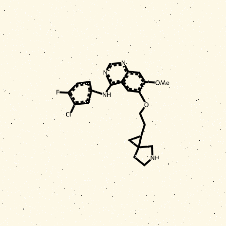 COc1cc2ncnc(Nc3ccc(F)c(Cl)c3)c2cc1OCCC1CC12CCNC2